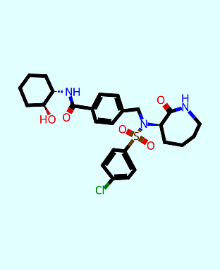 O=C(N[C@H]1CCCC[C@@H]1O)c1ccc(CN([C@@H]2CCCCNC2=O)S(=O)(=O)c2ccc(Cl)cc2)cc1